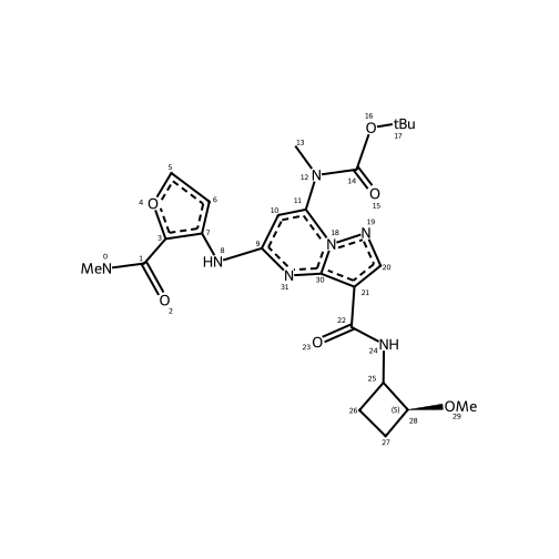 CNC(=O)c1occc1Nc1cc(N(C)C(=O)OC(C)(C)C)n2ncc(C(=O)NC3CC[C@@H]3OC)c2n1